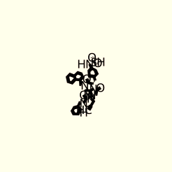 C#CCN(C(=O)NCc1ccccc1)N1CC(=O)N2[C@@H](Cc3ccc(N[SH](=O)=O)cc3)C(=O)N(Cc3cccc4ccccc34)C[C@@H]21